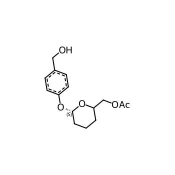 CC(=O)OCC1CCC[C@H](Oc2ccc(CO)cc2)O1